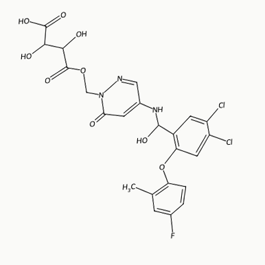 Cc1cc(F)ccc1Oc1cc(Cl)c(Cl)cc1C(O)Nc1cnn(COC(=O)C(O)C(O)C(=O)O)c(=O)c1